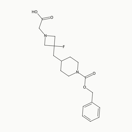 O=C(O)CN1CC(F)(CC2CCN(C(=O)OCc3ccccc3)CC2)C1